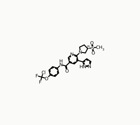 CS(=O)(=O)[C@@H]1CCN(c2ncc(C(=O)Nc3ccc(OC(F)(F)Cl)cc3)cc2-c2ccn[nH]2)C1